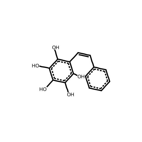 Oc1c(O)c(O)c(/C=C\c2ccccc2)c(O)c1O